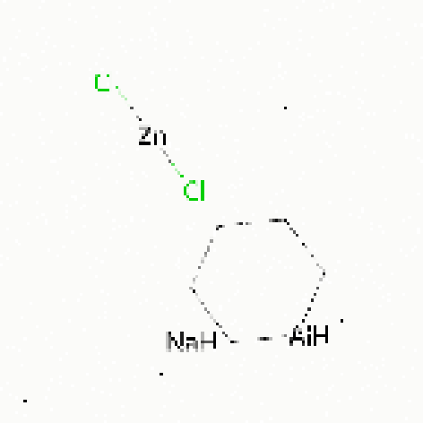 C1C[CH2][AlH][CH2]C1.[Cl][Zn][Cl].[NaH]